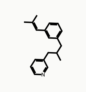 CC(C)=Cc1cccc(CC(C)Cc2cccnc2)c1